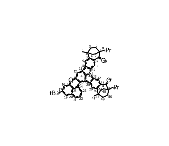 CC(C)C12CCC(C)(CC1)c1cc3c4cc5oc6cc(C(C)(C)C)cc7cccc(c76)c5c5c6cc7c(cc6n(c3cc1C2=O)c45)C(=O)C1(C(C)C)CCC7(C)CC1